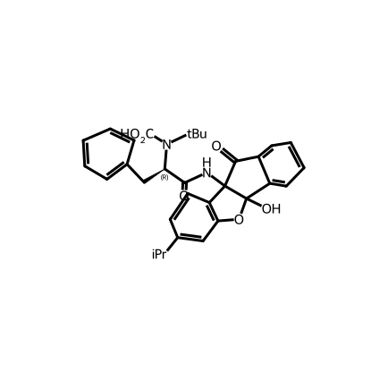 CC(C)c1ccc2c(c1)OC1(O)c3ccccc3C(=O)C21NC(=O)[C@@H](Cc1ccccc1)N(C(=O)O)C(C)(C)C